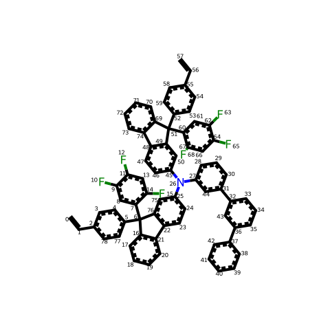 C=Cc1ccc(C2(c3cc(F)c(F)cc3F)c3ccccc3-c3ccc(N(c4cccc(-c5cccc(-c6ccccc6)c5)c4)c4ccc5c(c4)C(c4ccc(C=C)cc4)(c4cc(F)c(F)cc4F)c4ccccc4-5)cc32)cc1